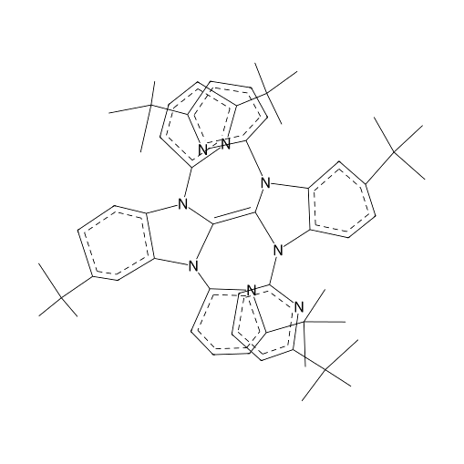 CC(C)(C)c1ccc2c(c1)N(c1cccc(C(C)(C)C)n1)/C(=C1\N(c3cccc(C(C)(C)C)n3)c3ccc(C(C)(C)C)cc3N1c1cccc(C(C)(C)C)n1)N2c1cccc(C(C)(C)C)n1